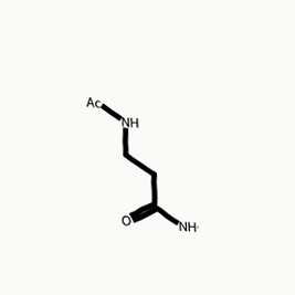 CC(=O)NCCC([NH])=O